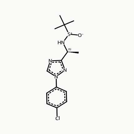 C[C@H](N[S+]([O-])C(C)(C)C)c1ncn(-c2ccc(Cl)cc2)n1